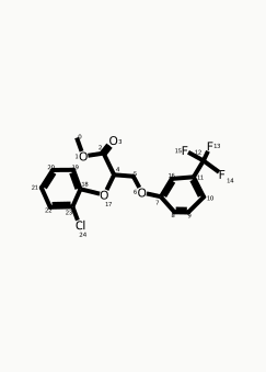 COC(=O)C(COc1cccc(C(F)(F)F)c1)Oc1ccccc1Cl